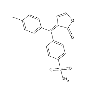 Cc1ccc(C(=C2C=COC2=O)c2ccc(S(N)(=O)=O)cc2)cc1